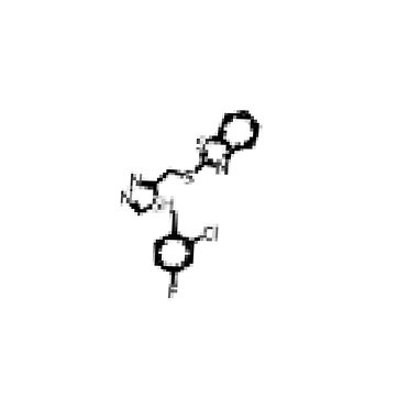 Fc1ccc(C[SH]2C=NN=C2CSc2nc3ccccc3s2)c(Cl)c1